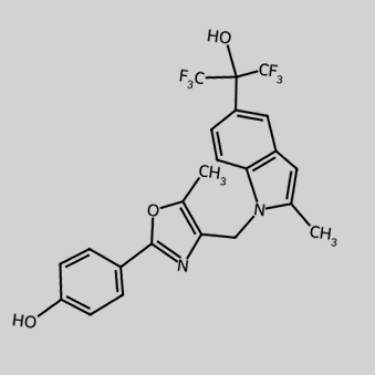 Cc1oc(-c2ccc(O)cc2)nc1Cn1c(C)cc2cc(C(O)(C(F)(F)F)C(F)(F)F)ccc21